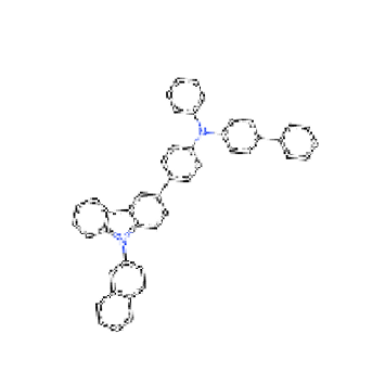 c1ccc(-c2ccc(N(c3ccccc3)c3ccc(-c4ccc5c(c4)c4ccccc4n5-c4ccc5ccccc5c4)cc3)cc2)cc1